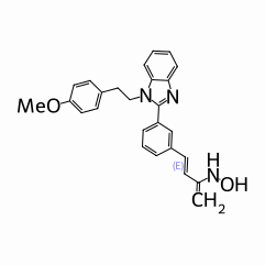 C=C(/C=C/c1cccc(-c2nc3ccccc3n2CCc2ccc(OC)cc2)c1)NO